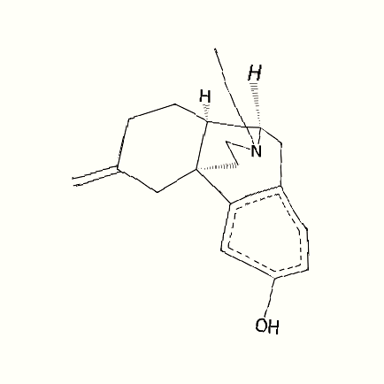 C=C1CC[C@H]2[C@H]3Cc4ccc(O)cc4[C@@]2(CCN3C)C1